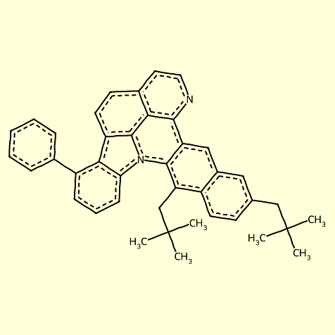 CC(C)(C)Cc1ccc2c(CC(C)(C)C)c3c(cc2c1)c1nccc2ccc4c5c(-c6ccccc6)cccc5n3c4c21